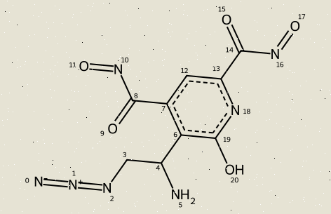 [N-]=[N+]=NCC(N)c1c(C(=O)N=O)cc(C(=O)N=O)nc1O